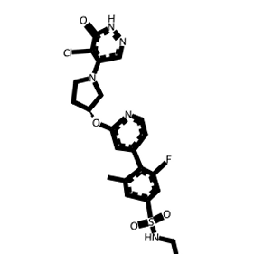 CCCNS(=O)(=O)c1cc(C)c(-c2ccnc(O[C@@H]3CCN(c4cn[nH]c(=O)c4Cl)C3)c2)c(F)c1